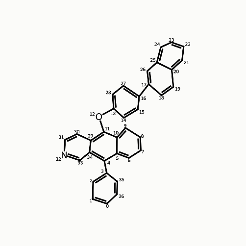 c1ccc(-c2c3ccccc3c(Oc3ccc(-c4ccc5ccccc5c4)cc3)c3ccncc23)cc1